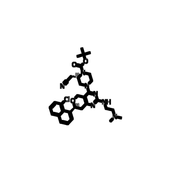 CN(C)CCNc1nc2c(c(N3CCN(C(=O)OC(C)(C)C)[C@@H](CC#N)C3)n1)CO[C@H](c1cccc3cccc(Cl)c13)C2